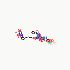 CC(C)(C)[C@H](NC(=O)c1cc2cc(C(F)(F)P(=O)(O)O)ccc2s1)C(=O)N1C[C@H](OCCCCCC#Cc2cccc3c2CN(C2CCC(=O)NC2=O)C3=O)C[C@H]1C(=O)N1CCOC(c2ccccc2)C1